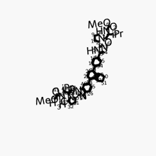 COC(=O)NC(C(=O)N1CCC[C@H]1c1ncc(-c2ccc(-c3ccc(-c4ccc5nc([C@@H]6CC[C@H](C)N6C(=O)C(NC(=O)OC)C(C)C)[nH]c5c4)c4c3C3CCC4C3)cc2)[nH]1)C(C)C